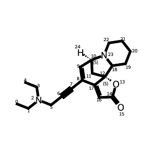 CCN(CC)CC#CC1=C[C@@H]2C[C@@]3(OC(=O)C=C13)C1CCCCN12